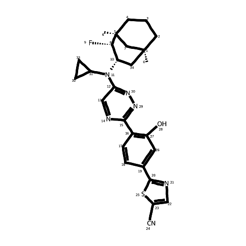 C[C@@]12CCC[C@@](C)(C1)[C@@H](F)[C@@H](N(c1cnc(-c3ccc(-c4ncc(C#N)s4)cc3O)nn1)C1CC1)C2